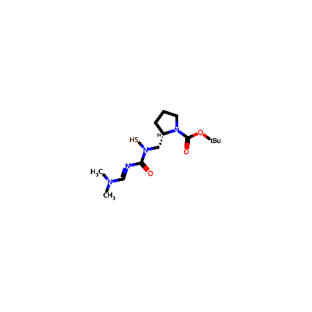 CN(C)C=NC(=O)N(S)C[C@@H]1CCCN1C(=O)OC(C)(C)C